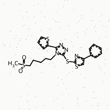 CS(=O)(=O)CCCCCn1c(Sc2nc(-c3ccccc3)cs2)nnc1-c1cccs1